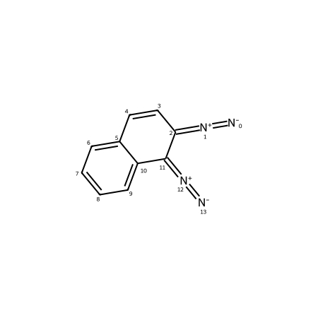 [N-]=[N+]=C1C=Cc2ccccc2C1=[N+]=[N-]